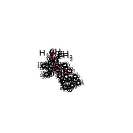 CCCCCCCC1(CCCCCCC)c2cc(N(c3ccc4c(c3)C3(c5ccccc5-c5ccccc53)c3cc5c(cc3-4)C3(c4ccccc4-c4ccccc43)c3ccc4oc6ccccc6c4c3-5)c3c(-c4ccccc4)cccc3-c3ccccc3)ccc2-c2c1c1c(c3c2oc2ccccc23)-c2ccccc2C1(CCCCCCC)CCCCCCC